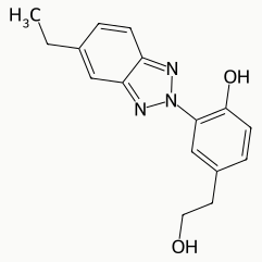 CCc1ccc2nn(-c3cc(CCO)ccc3O)nc2c1